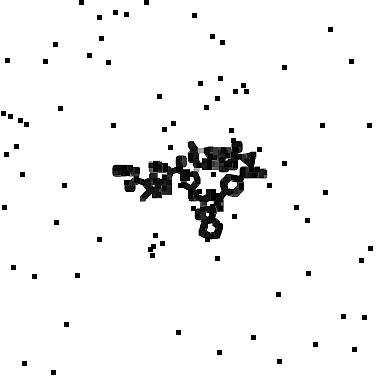 C=C[C@@H]1C[C@]1(NC(=O)[C@@H]1C[C@@H](Oc2nc(-c3ccc(OC)cc3)nc3c2oc2ccccc23)CN1C(=O)[C@@H](Nc1nc(C)c(C(=O)OC)s1)C(C)(C)C)C(=O)NS(=O)(=O)C1CC1